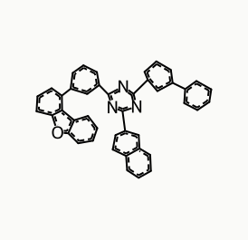 c1ccc(-c2cccc(-c3nc(-c4cccc(-c5cccc6oc7ccccc7c56)c4)nc(-c4ccc5ccccc5c4)n3)c2)cc1